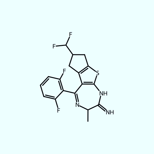 CC1N=C(c2c(F)cccc2F)c2c(sc3c2CC(C(F)F)C3)NC1=N